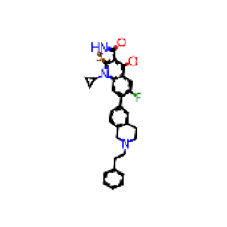 O=c1[nH]sc2c1c(=O)c1cc(F)c(-c3ccc4c(c3)CCN(CCc3ccccc3)C4)cc1n2C1CC1